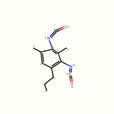 CCCc1cc(C)c(N=C=O)c(C)c1N=C=O